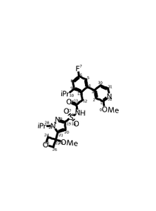 COc1cc(-c2cc(F)cc(C(C)C)c2CC(=O)NS(=O)(=O)c2cc(C3(OC)COC3)n(C(C)C)n2)ccn1